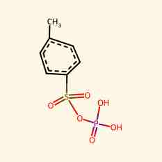 Cc1ccc(S(=O)(=O)OP(=O)(O)O)cc1